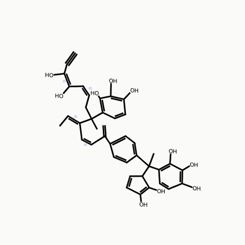 C#C/C(O)=C(O)\C=C/CC(C)(C(/C=C\C(=C)c1ccc(C(C)(c2ccc(O)c(O)c2O)C2C=CC(O)=C2O)cc1)=C/C)c1ccc(O)c(O)c1O